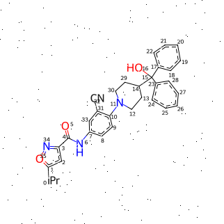 CC(C)c1cc(C(=O)Nc2ccc(N3CCC(C(O)(c4ccccc4)c4ccccc4)CC3)c(C#N)c2)no1